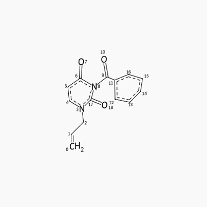 C=CCn1ccc(=O)n(C(=O)c2ccccc2)c1=O